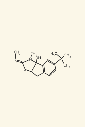 CN=C1SC2Cc3ccc(C(C)(C)C)cc3C2(O)N1C